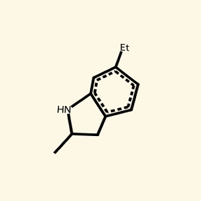 CCc1ccc2c(c1)NC(C)C2